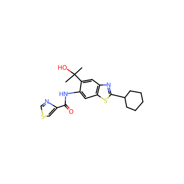 CC(C)(O)c1cc2nc(C3CCCCC3)sc2cc1NC(=O)c1cscn1